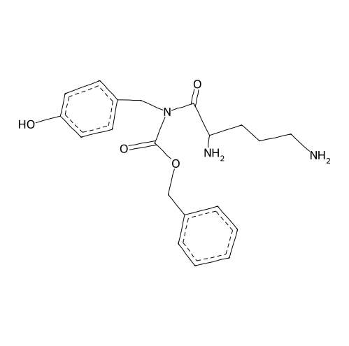 NCCCC(N)C(=O)N(Cc1ccc(O)cc1)C(=O)OCc1ccccc1